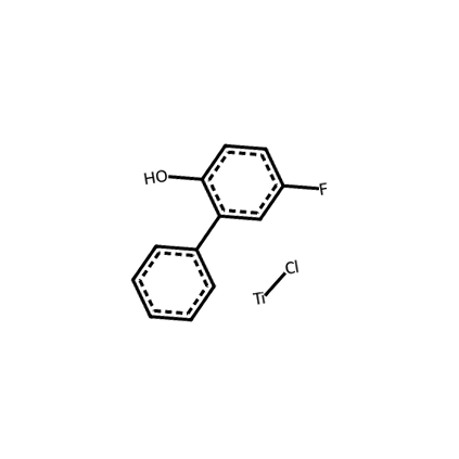 Oc1ccc(F)cc1-c1ccccc1.[Cl][Ti]